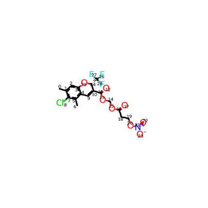 Cc1cc2c(c(C)c1Cl)C=C(C(=O)OCOC(=O)CCO[N+](=O)[O-])[C@@H](C(F)(F)F)O2